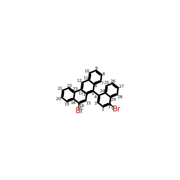 Brc1ccc(-c2c3ccccc3cc3c2cc(Br)c2ccccc23)c2ccccc12